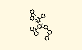 c1ccc(-c2cccc(-c3ccc4oc5c(-c6nc(-c7ccccc7)nc(-c7cccc8c7sc7ccccc78)n6)cc(-n6c7ccccc7c7ccccc76)cc5c4c3)c2)cc1